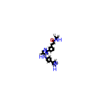 Cc1cnc(-c2cccc(/C=C/C(=O)NC(C)C)c2)nc1Nc1ccc(-c2cn[nH]c2)cc1